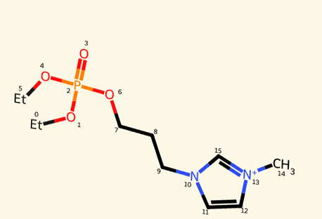 CCOP(=O)(OCC)OCCCn1cc[n+](C)c1